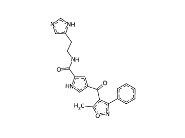 Cc1onc(-c2ccccc2)c1C(=O)c1c[nH]c(C(=O)NCCc2cnc[nH]2)c1